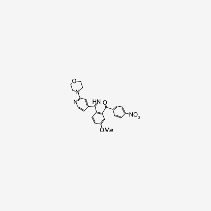 COc1ccc(C(=N)c2ccnc(N3CCOCC3)c2)c(C(=O)c2ccc([N+](=O)[O-])cc2)c1